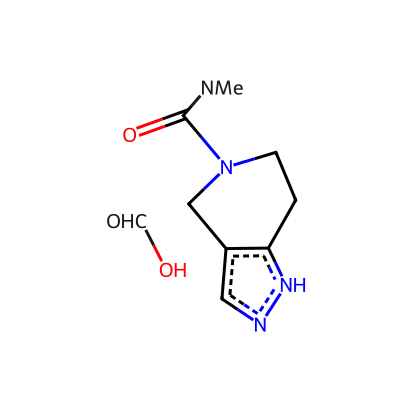 CNC(=O)N1CCc2[nH]ncc2C1.O=CO